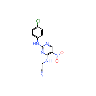 N#CCNc1nc(Nc2ccc(Cl)cc2)ncc1[N+](=O)[O-]